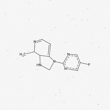 CC1N=CC=C2C1NCN2c1ncc(F)cn1